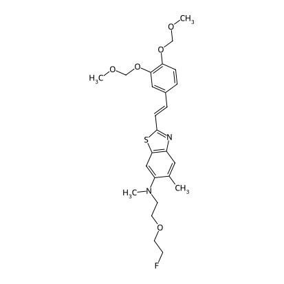 COCOc1ccc(/C=C/c2nc3cc(C)c(N(C)CCOCCF)cc3s2)cc1OCOC